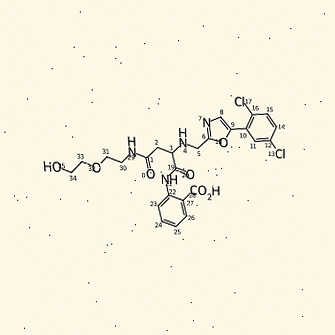 O=C(CC(NCc1ncc(-c2cc(Cl)ccc2Cl)o1)C(=O)Nc1ccccc1C(=O)O)NCCOCCO